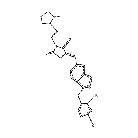 CN1CCCC1CCN1C(=O)S/C(=C\c2ccc3c(cnn3Cc3ccc(Cl)cc3C(F)(F)F)c2)C1=O